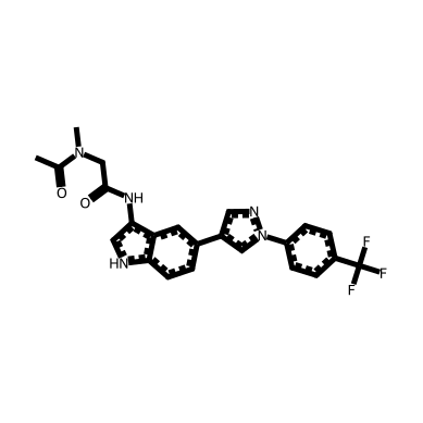 CC(=O)N(C)CC(=O)Nc1c[nH]c2ccc(-c3cnn(-c4ccc(C(F)(F)F)cc4)c3)cc12